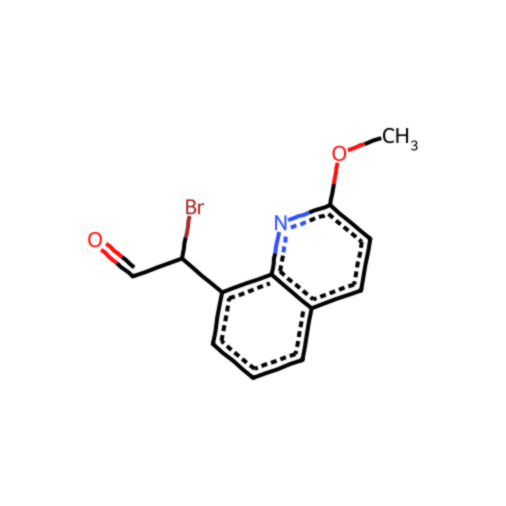 COc1ccc2cccc(C(Br)C=O)c2n1